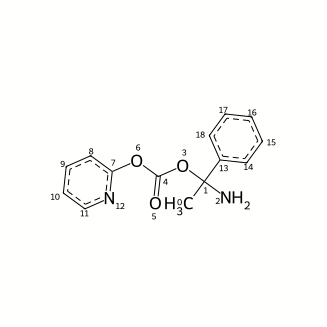 CC(N)(OC(=O)Oc1ccccn1)c1ccccc1